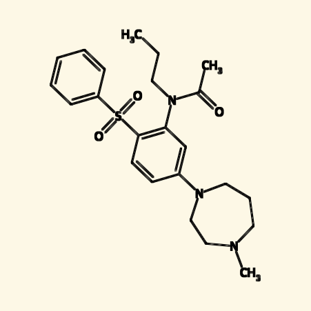 CCCN(C(C)=O)c1cc(N2CCCN(C)CC2)ccc1S(=O)(=O)c1ccccc1